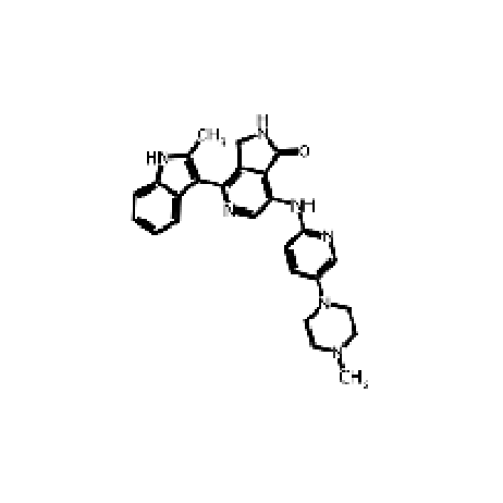 Cc1[nH]c2ccccc2c1-c1ncc(Nc2ccc(N3CCN(C)CC3)cn2)c2c1CNC2=O